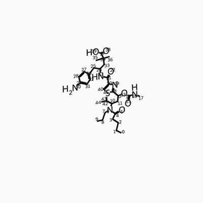 CCCCC(=O)N(CCC)C(CC(OC(=O)NC)c1nc(C(=O)NC(Cc2ccc(N)cc2)CC(C)(C)C(=O)O)cs1)C(C)C